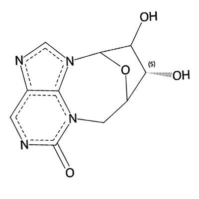 O=c1ncc2ncn3c2n1CC1OC3C(O)[C@@H]1O